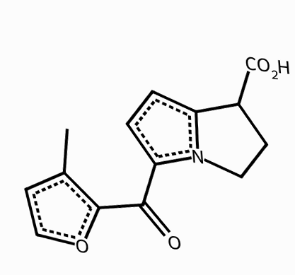 Cc1ccoc1C(=O)c1ccc2n1CCC2C(=O)O